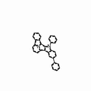 c1ccc(-c2ccc3c(c2)c2c(c4c5ccccc5c5cccc2n54)n3-c2ccccc2)cc1